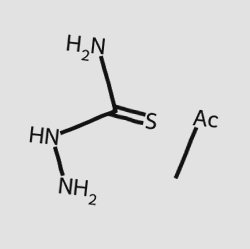 CC(C)=O.NNC(N)=S